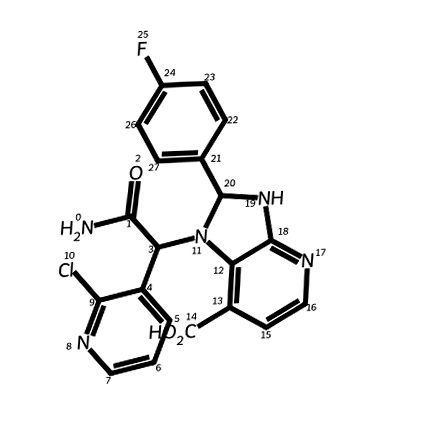 NC(=O)C(c1cccnc1Cl)N1c2c(C(=O)O)ccnc2NC1c1ccc(F)cc1